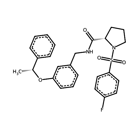 C[C@@H](Oc1cccc(CNC(=O)[C@@H]2CCCN2S(=O)(=O)c2ccc(F)cc2)c1)c1ccccc1